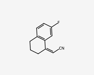 N#C/C=C1/CCCc2ccc(F)cc21